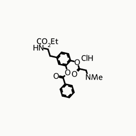 CCOC(=O)NCCc1ccc(OC(=O)CNC)c(OC(=O)c2ccccc2)c1.Cl